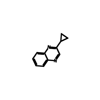 c1ccc2nc(C3CC3)cnc2c1